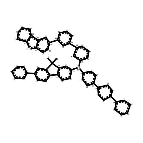 CC1(C)c2cc(-c3ccccc3)ccc2-c2ccc(N(c3ccc(-c4ccc(-c5ccccc5)cc4)cc3)c3cccc(-c4cccc(-c5ccc6oc7ccccc7c6c5)c4)c3)cc21